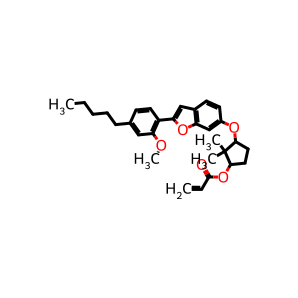 C=CC(=O)OC1CCC(Oc2ccc3cc(-c4ccc(CCCCC)cc4OC)oc3c2)C1(C)C